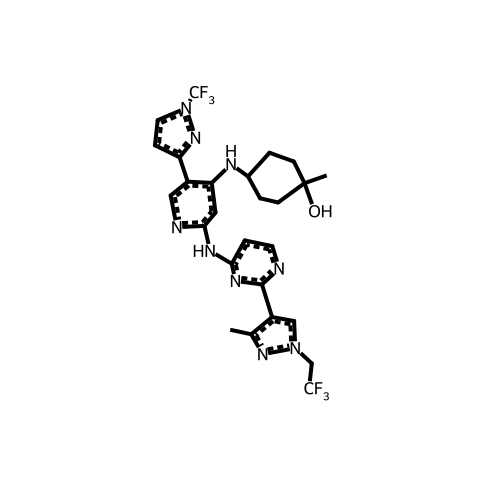 Cc1nn(CC(F)(F)F)cc1-c1nccc(Nc2cc(NC3CCC(C)(O)CC3)c(-c3ccn(C(F)(F)F)n3)cn2)n1